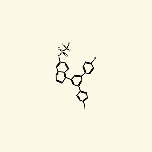 O=S(=O)(Oc1ccc2c(-c3cc(-c4ccc(F)cc4)cc(-c4ccc(F)cc4)c3)cccc2c1)C(F)(F)F